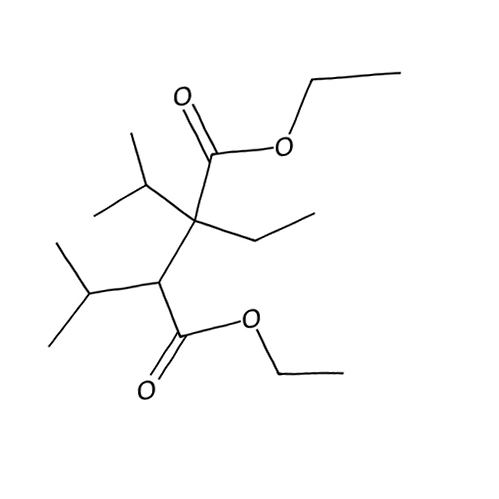 CCOC(=O)C(C(C)C)C(CC)(C(=O)OCC)C(C)C